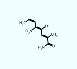 C\C=C/C(=C(/C=C(\C)C(N)=O)CC)[N+](=O)[O-]